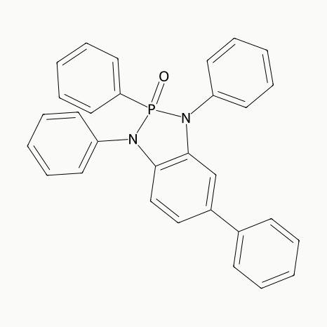 O=P1(c2ccccc2)N(c2ccccc2)c2ccc(-c3ccccc3)cc2N1c1ccccc1